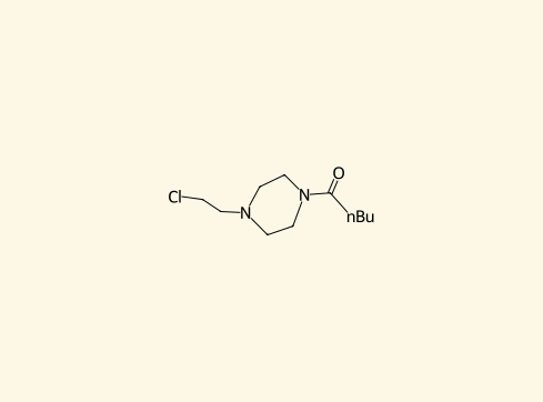 CCCCC(=O)N1CCN(CCCl)CC1